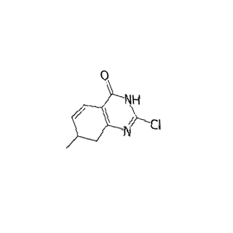 CC1C=Cc2c(nc(Cl)[nH]c2=O)C1